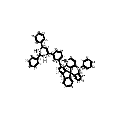 C1=CC2=C(CN1)C1(c3ccccc3-c3ccc(-c4cccc(C5=CC(c6ccccc6)NC(c6ccccc6)N5)c4)cc31)c1ccccc1N2c1ccccc1